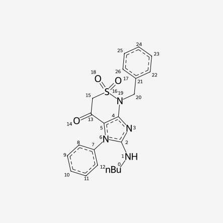 CCCCNc1nc2c(n1-c1ccccc1)C(=O)CS(=O)(=O)N2Cc1ccccc1